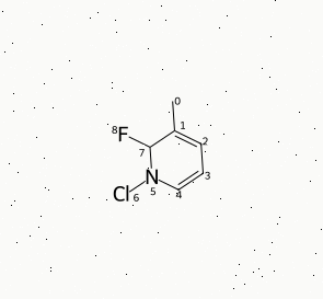 CC1=CC=CN(Cl)C1F